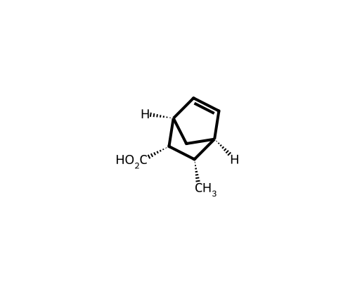 C[C@@H]1[C@H](C(=O)O)[C@H]2C=C[C@@H]1C2